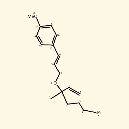 C=CC(C)(CCCC(C)C)OCC=Cc1ccc(OC)cc1